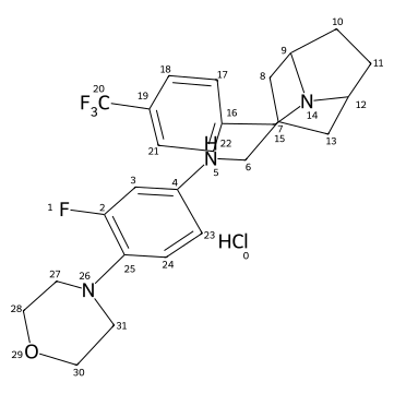 Cl.Fc1cc(NCC2CC3CCC(C2)N3Cc2ccc(C(F)(F)F)cc2)ccc1N1CCOCC1